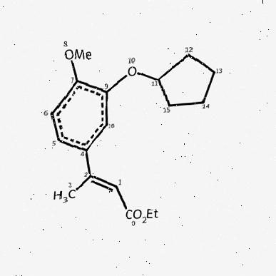 CCOC(=O)C=C(C)c1ccc(OC)c(OC2CCCC2)c1